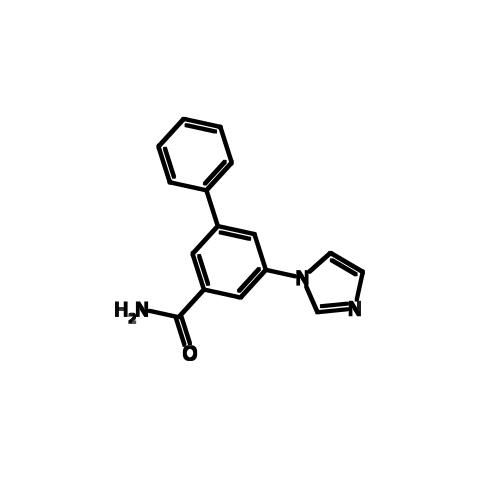 NC(=O)c1cc(-c2ccccc2)cc(-n2ccnc2)c1